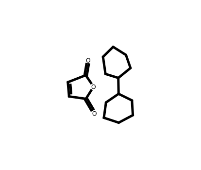 C1CCC(C2CCCCC2)CC1.O=C1C=CC(=O)O1